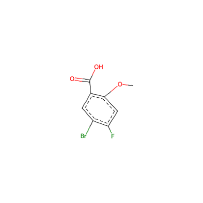 COc1cc(F)c(Br)cc1C(=O)O